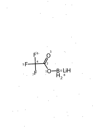 BOC(=O)C(F)(F)F.[LiH]